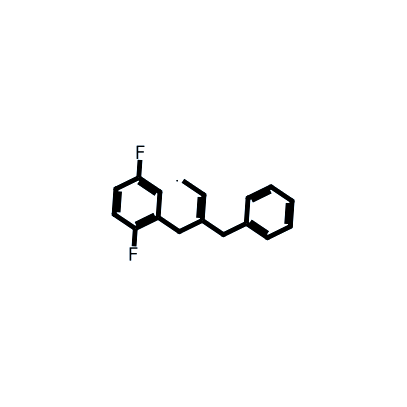 [CH2]C=C(Cc1ccccc1)Cc1cc(F)ccc1F